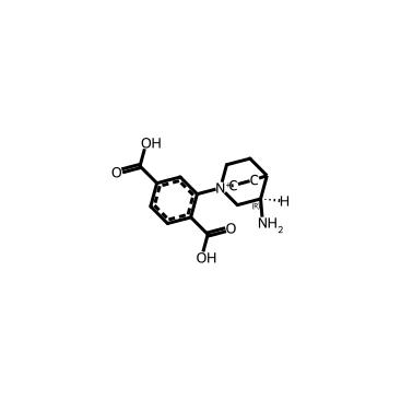 N[C@H]1C[N+]2(c3cc(C(=O)O)ccc3C(=O)O)CCC1CC2